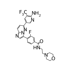 Nc1ncc(-c2ccc3ncc(-c4ccc(C(=O)NCCN5CCOCC5)cc4F)n3n2)cc1C(F)(F)F